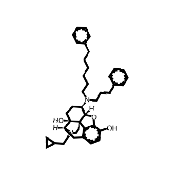 Oc1ccc2c3c1O[C@H]1[C@H](N(CCCCCCc4ccccc4)CCCc4ccccc4)CC[C@@]4(O)[C@@H](C2)N(CC2CC2)CC[C@]314